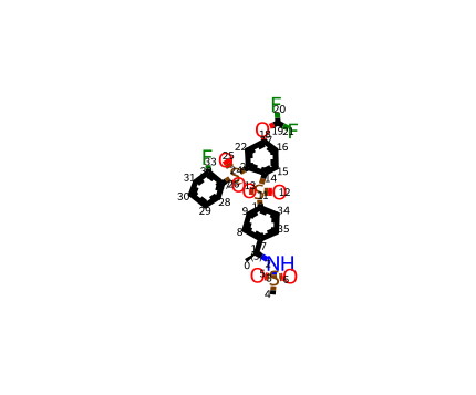 C[C@H](NS(C)(=O)=O)c1ccc(S(=O)(=O)c2ccc(OC(F)F)cc2S(=O)(=O)c2ccccc2F)cc1